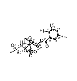 CS(=O)(=O)NC(=O)C12Cc3oc1c(OC(=O)c1cc(I)cc(I)c1I)c3OS2(=O)=O